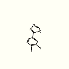 Cc1ccc(-c2nnco2)cc1F